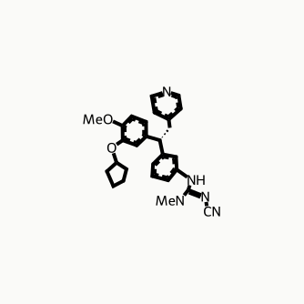 CN/C(=N\C#N)Nc1cccc([C@@H](Cc2ccncc2)c2ccc(OC)c(OC3CCCC3)c2)c1